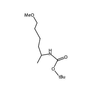 COCCCCC(C)NC(=O)OC(C)(C)C